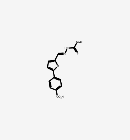 CNC(=S)NN=Cc1ccc(-c2ccc(C(=O)O)cc2)o1